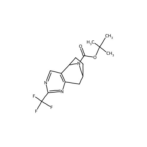 CC(C)(C)OC(=O)N1C2CCC1c1cnc(C(F)(F)F)nc1C2